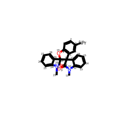 CC(C)c1ccc2c(c1)C1(C(=O)N(C)c3ccccc31)C1(O2)C(=O)N(C)c2ccccc21